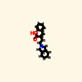 O=C(O)C(=Cc1ccccc1)CCN1CC2CCCCC2C1